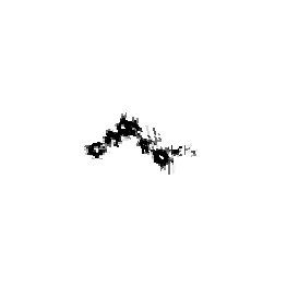 Cc1nc2cc(-n3ncc(-n4[c]cc5ccc(-c6ccc(N7CCCCC7)nc6)cc54)c3N)ccc2[nH]1